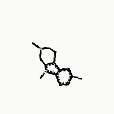 Cc1ccc2c(c1)c1c(n2C)CN(C)CC1